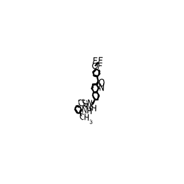 Cc1cccc(C)c1NC(=S)NN=Cc1ccc2c(ccc3c(-c4ccc(OC(F)(F)F)cc4)onc32)c1